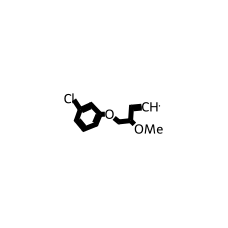 [CH]=CC(COc1cccc(Cl)c1)OC